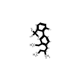 CCc1cc(-c2c(F)cccc2C(F)(F)F)ccc1CC(C)CC